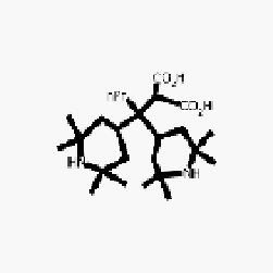 CCCC(C1CC(C)(C)NC(C)(C)C1)(C1CC(C)(C)NC(C)(C)C1)C(C(=O)O)C(=O)O